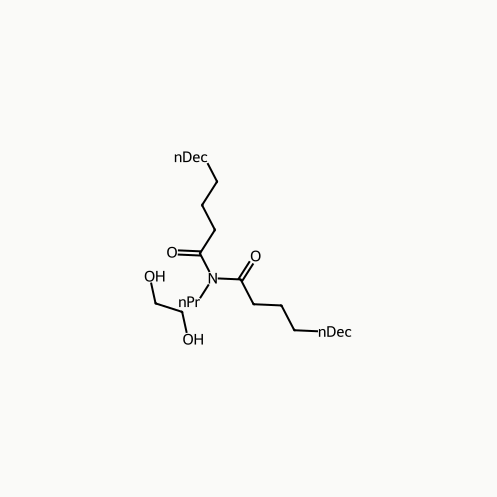 CCCCCCCCCCCCCC(=O)N(CCC)C(=O)CCCCCCCCCCCCC.OCCO